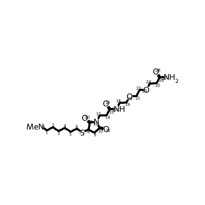 CNCCCCCCSC1CC(=O)N(CCC(=O)NCCOCCOCCC(N)=O)C1=O